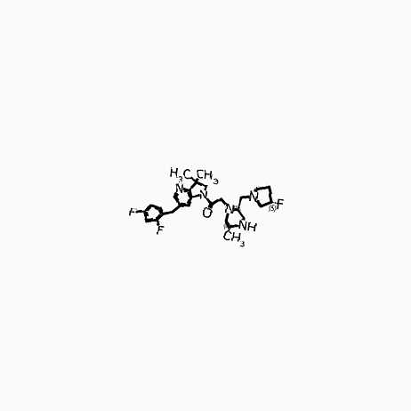 C[C@@H]1CN(CC(=O)N2CC(C)(C)c3ncc(Cc4ccc(F)cc4F)cc32)[C@@H](CN2CC[C@H](F)C2)CN1